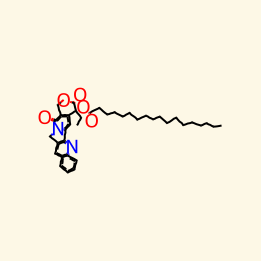 CCCCCCCCCCCCCCCCCC(=O)OC1(CC)C(=O)OCc2c1cc1n(c2=O)Cc2cc3ccccc3nc2-1